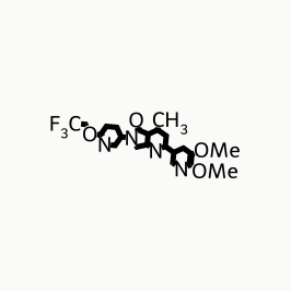 COC1=C(OC)N=CC(C2CC(C)C3C(=O)N(C4CCC(OCC(F)(F)F)=NC4)CC3=N2)C1